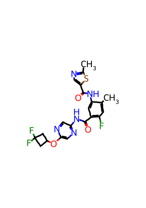 Cc1ncc(C(=O)Nc2cc(C(=O)Nc3cnc(OC4CC(F)(F)C4)cn3)c(F)cc2C)s1